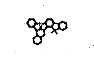 CC1(C)c2ccccc2-c2ccc3c(c21)c1cc2ccccc2c2c4ccccc4n3c12